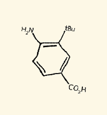 CC(C)(C)c1cc(C(=O)O)ccc1N